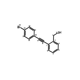 SCc1ccccc1C#Cc1ccc(Br)cc1